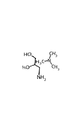 CN(C)C.NCC(O)CO